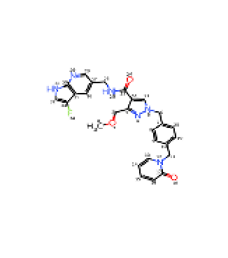 COCc1nn(Cc2ccc(Cn3ccccc3=O)cc2)cc1C(=O)NCc1cnc2[nH]cc(F)c2c1